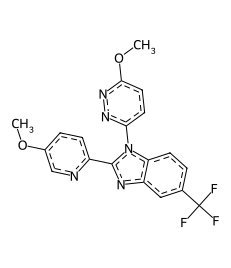 COc1ccc(-c2nc3cc(C(F)(F)F)ccc3n2-c2ccc(OC)nn2)nc1